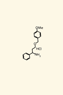 COc1ccc(COCCC(N)c2ccccc2)cc1.Cl